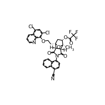 C[C@]12O[C@](CCOc3c(Cl)cc(Cl)c4cccnc34)(C[C@@H]1OC(=O)C(F)(F)F)[C@H]1C(=O)N(c3ccc(C#N)c4ccccc34)C(=O)[C@H]12